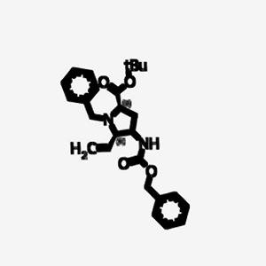 C=C[C@@H]1C(NC(=O)OCc2ccccc2)C[C@H](C(=O)OC(C)(C)C)N1Cc1ccccc1